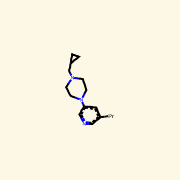 CC(C)c1cncc(N2CCN(CC3CC3)CC2)c1